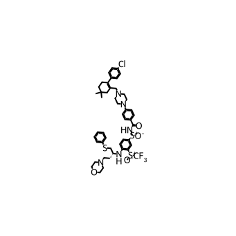 CC1(C)CCC(c2ccc(Cl)cc2)=C(CN2CCN(c3ccc(C(=O)N[S+]([O-])c4ccc(N[C@H](CCN5CCOCC5)CSc5ccccc5)c([S+]([O-])C(F)(F)F)c4)cc3)CC2)C1